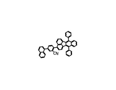 N#Cc1cc(-c2cccc3ccccc23)ccc1-c1ccc2c3c(cccc13)-c1c-2c(-c2ccccc2)c2ccccc2c1-c1ccccc1